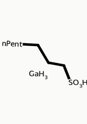 CCCCCCCCS(=O)(=O)O.[GaH3]